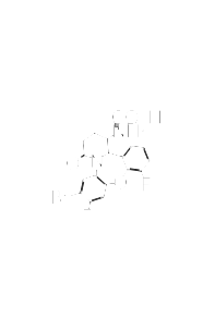 O=C(O)NC1CCC(=O)N2c3cc(Br)c(F)cc3Oc3c(F)cccc3C12